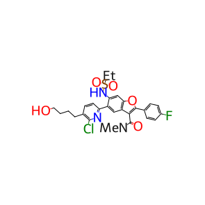 CCS(=O)(=O)Nc1cc2oc(-c3ccc(F)cc3)c(C(=O)NC)c2cc1-c1ccc(CCCCO)c(Cl)n1